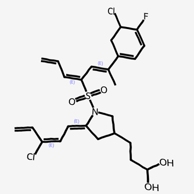 C=C/C=C(\C=C(/C)C1=CC=C(F)C(Cl)C1)S(=O)(=O)N1CC(CCC(O)O)C/C1=C\C=C(\Cl)C=C